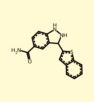 NC(=O)c1ccc2c(c1)C(c1cc3ccccc3s1)NN2